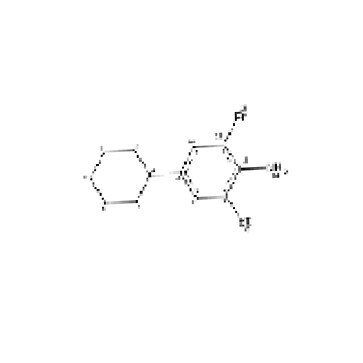 CCc1cc(C2CCCCC2)cc(CC)c1N